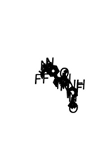 COc1nc(N[C@H]2CCN(C3COC3)C[C@@H]2F)nn2ccc(-c3ccc4nnn([C@H](C)C(F)F)c4c3)c12